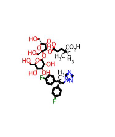 CC(C)(CCC(=O)O[C@H]1[C@H](O)[C@@H](CO)O[C@@]1(CO)O[C@H]1O[C@H](CO)[C@@H](O)[C@H](O)[C@H]1O)C(=O)O.C[Si](Cn1cncn1)(c1ccc(F)cc1)c1ccc(F)cc1